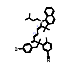 C=C(/C=C/C=C1/N(CCC(C)C)c2c(ccc3ccccc23)C1(C)C)C(C)(Cc1ccc(Br)cc1)c1cc(C#N)ccc1C